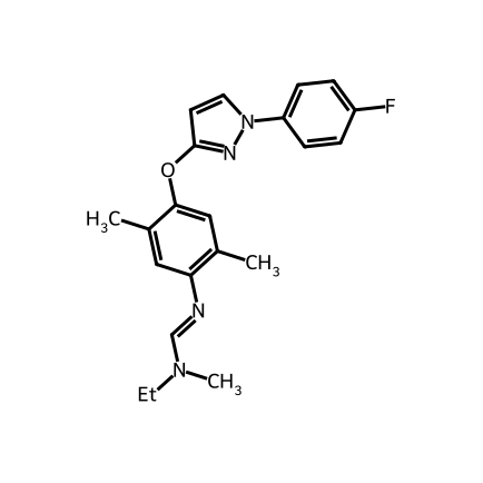 CCN(C)C=Nc1cc(C)c(Oc2ccn(-c3ccc(F)cc3)n2)cc1C